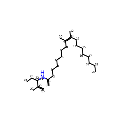 C=C(CCCCCCC/C(C)=C(/C)CCCCCCCC)NC(CC)C(=C)C